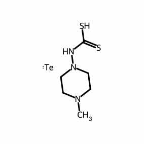 CN1CCN(NC(=S)S)CC1.[Te]